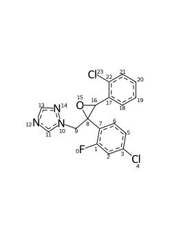 Fc1cc(Cl)ccc1C1(Cn2cncn2)OC1c1ccccc1Cl